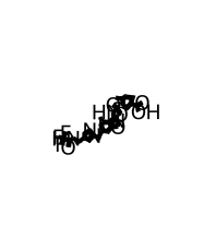 Cc1ccc(C(=O)O)cc1S(=O)(=O)Nc1noc2cc(Cn3cc(CNC(=O)C(F)(F)F)cn3)cc(C)c12